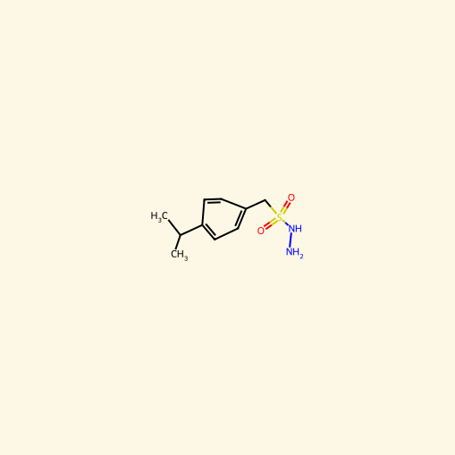 CC(C)c1ccc(CS(=O)(=O)NN)cc1